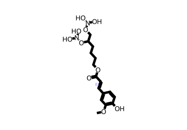 COc1cc(/C=C/C(=O)OCCCCC(CON(O)O)ON(O)O)ccc1O